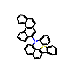 c1ccc(N(c2cc3ccc4ccccc4c3c3ccccc23)c2cccc3ccc4c5ccccc5sc4c23)cc1